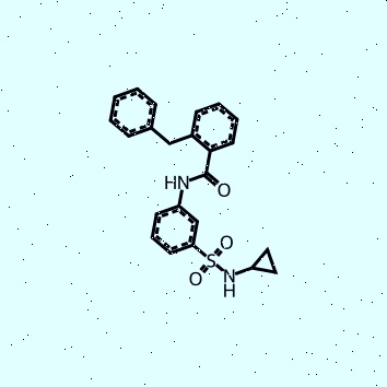 O=C(Nc1cccc(S(=O)(=O)NC2CC2)c1)c1ccccc1Cc1ccccc1